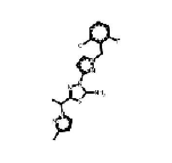 Cc1ccn(C(C)C2=NN(c3ccn(Cc4c(F)cccc4Cl)n3)C(N)S2)n1